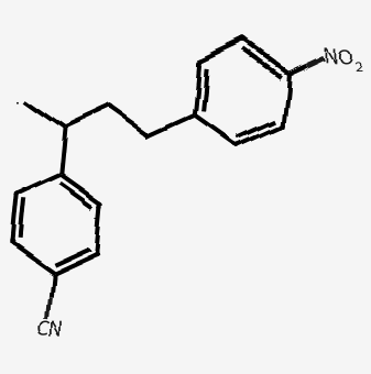 [CH2]C(CCc1ccc([N+](=O)[O-])cc1)c1ccc(C#N)cc1